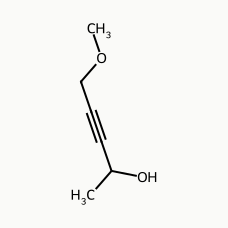 COCC#CC(C)O